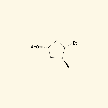 CC[C@H]1C[C@@H](OC(C)=O)C[C@@H]1C